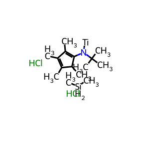 CC1=C(C)C(C)C([N]([Ti])C(C)(C)C)=C1C.C[SiH2]C.Cl.Cl